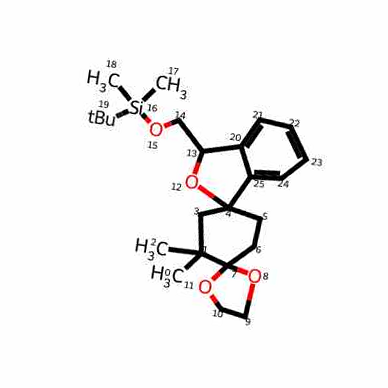 CC1(C)CC2(CCC13OCCO3)OC(CO[Si](C)(C)C(C)(C)C)c1ccccc12